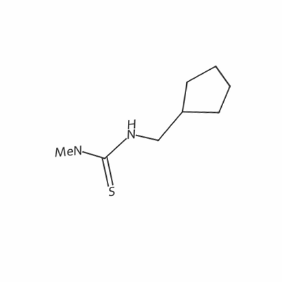 CNC(=S)NCC1CCCC1